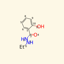 CCNNC(=O)c1ccccc1O